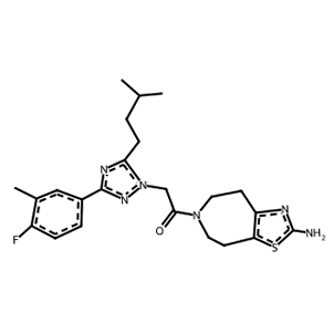 Cc1cc(-c2nc(CCC(C)C)n(CC(=O)N3CCc4nc(N)sc4CC3)n2)ccc1F